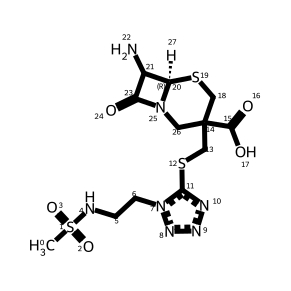 CS(=O)(=O)NCCn1nnnc1SCC1(C(=O)O)CS[C@@H]2C(N)C(=O)N2C1